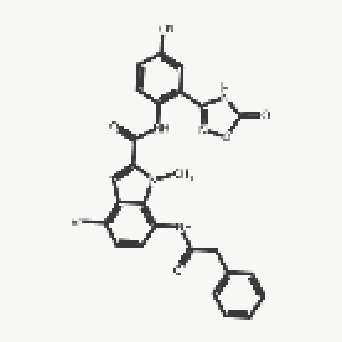 Cn1c(C(=O)Nc2ccc(C#N)cc2-c2noc(=O)[nH]2)cc2c(Br)ccc(NC(=O)Cc3ccccc3)c21